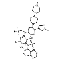 CN1CCN(C2CCN(c3cc(OCC(F)(F)F)c(Nc4ncc(Br)c(Nc5ccc6nccnc6c5NS(C)(=O)=O)n4)cc3-c3cnn(C)c3)CC2)CC1